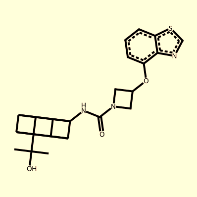 CC(C)(O)C12C3C4C1C1C2C3C41NC(=O)N1CC(Oc2cccc3scnc23)C1